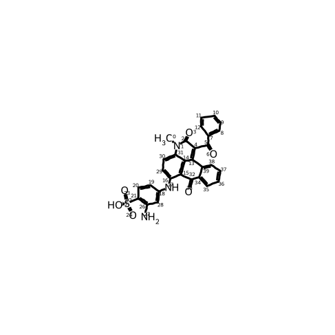 Cn1c(=O)c(C(=O)c2ccccc2)c2c3c(c(Nc4ccc(S(=O)(=O)O)c(N)c4)ccc31)C(=O)c1ccccc1-2